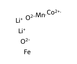 [Co+2].[Fe].[Li+].[Li+].[Mn].[O-2].[O-2]